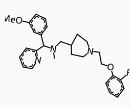 COc1cccc(C(c2ccccn2)N(C)CC2CCN(CCOc3ccccc3F)CC2)c1